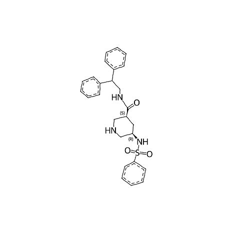 O=C(NCC(c1ccccc1)c1ccccc1)[C@@H]1CNC[C@H](NS(=O)(=O)c2ccccc2)C1